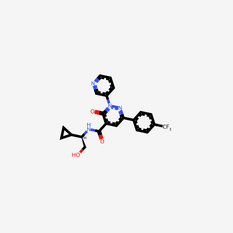 O=C(N[C@@H](CO)C1CC1)c1cc(-c2ccc(C(F)(F)F)cc2)nn(-c2cccnc2)c1=O